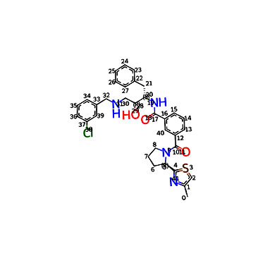 Cc1csc([C@H]2CCCN2C(=O)c2cccc(C(=O)N[C@@H](Cc3ccccc3)[C@H](O)CNCc3cccc(Cl)c3)c2)n1